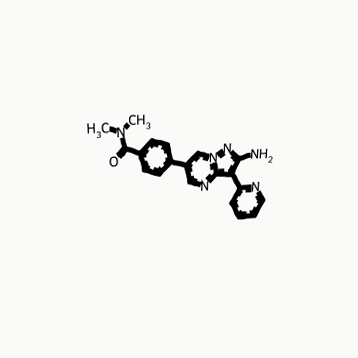 CN(C)C(=O)c1ccc(-c2cnc3c(-c4ccccn4)c(N)nn3c2)cc1